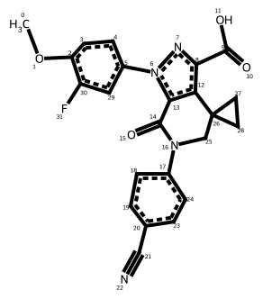 COc1ccc(-n2nc(C(=O)O)c3c2C(=O)N(c2ccc(C#N)cc2)CC32CC2)cc1F